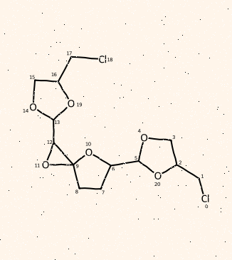 ClCC1COC(C2CCC3(O2)OC3C2OCC(CCl)O2)O1